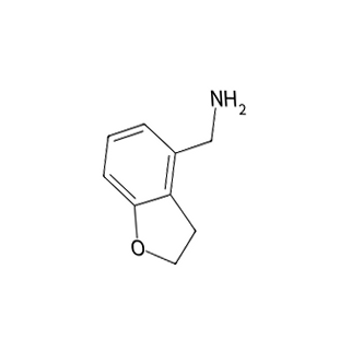 NCc1cccc2c1CCO2